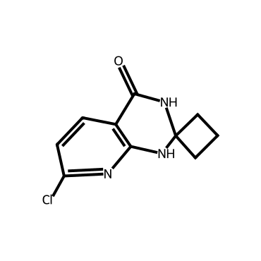 O=C1NC2(CCC2)Nc2nc(Cl)ccc21